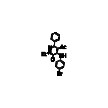 CCn1nc(-c2ccccc2)c(C(C)=O)c(Nc2ccc(Br)cc2)c1=O